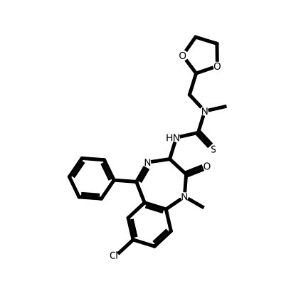 CN(CC1OCCO1)C(=S)NC1N=C(c2ccccc2)c2cc(Cl)ccc2N(C)C1=O